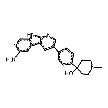 CN1CCC(O)(c2ccc(-c3cnc4[nH]c5cnc(N)cc5c4c3)cc2)CC1